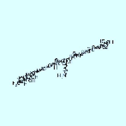 NCCCCCC(=O)NC(COCCC(=O)NCCOCCOCCOCCOCC1OCCC(O)C1O)COCCC(=O)NCCOCCOCCOCCOCC1OC[C@H](Nc2nccc(C(F)(F)F)n2)C(O)C1O